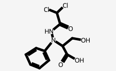 O=C(NN(c1ccccc1)C(CO)C(=O)O)C(Cl)Cl